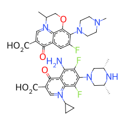 CC1COc2c(N3CCN(C)CC3)c(F)cc3c(=O)c(C(=O)O)cn1c23.C[C@@H]1CN(c2c(F)c(N)c3c(=O)c(C(=O)O)cn(C4CC4)c3c2F)C[C@H](C)N1